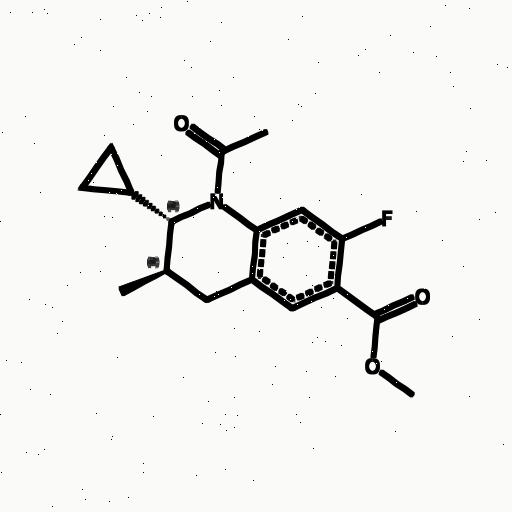 COC(=O)c1cc2c(cc1F)N(C(C)=O)[C@@H](C1CC1)[C@H](C)C2